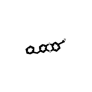 N#Cc1ccc2c(c1)Sc1ccc(Cc3ccccc3)cc1S2